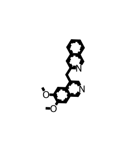 COc1cc2cncc(Cc3cc4ccccc4cn3)c2cc1OC